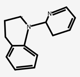 [CH]1CCc2ccccc2N1C1CC=CC=N1